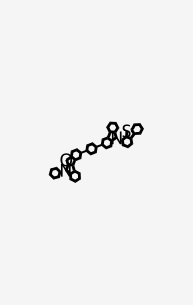 c1ccc(-n2c3ccccc3c3c4cc(-c5ccc(-c6ccc7c(c6)c6ccccc6n7-c6cccc7c6sc6ccccc67)cc5)ccc4oc32)cc1